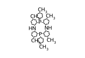 Cc1ccc(P2c3cc(C)ccc3Nc3ccc(C)cc3P(c3ccc(C)cc3)c3cc(C)ccc3Nc3ccc(C)cc32)cc1